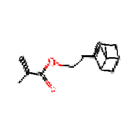 C=C(C)C(=O)OCCC1=CCC2CC1C2(C)C